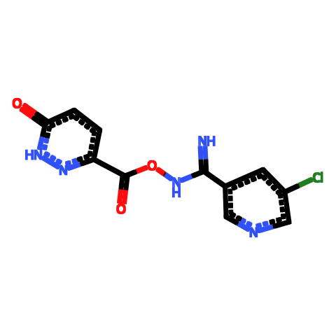 N=C(NOC(=O)c1ccc(=O)[nH]n1)c1cncc(Cl)c1